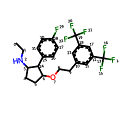 CCNC1CCC(OCCc2cc(C(F)(F)F)cc(C(F)(F)F)c2)C1c1ccc(F)cc1